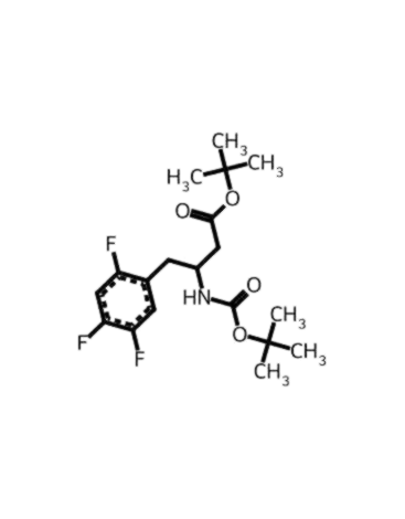 CC(C)(C)OC(=O)CC(Cc1cc(F)c(F)cc1F)NC(=O)OC(C)(C)C